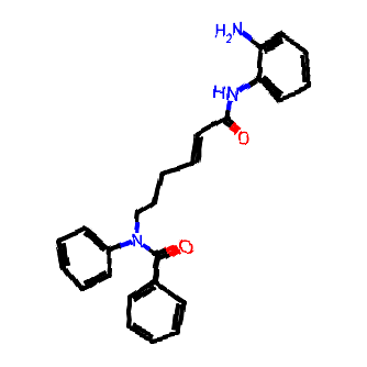 Nc1ccccc1NC(=O)/C=C/CCCN(C(=O)c1ccccc1)c1ccccc1